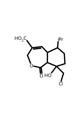 CC(C)C1CCC(O)(CCl)C2C(=O)OCC(C(=O)O)=CC12